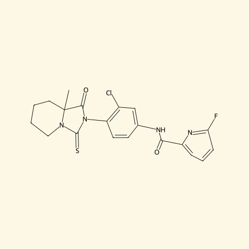 CC12CCCCN1C(=S)N(c1ccc(NC(=O)c3cccc(F)n3)cc1Cl)C2=O